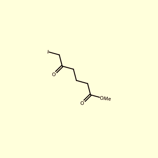 COC(=O)CCCC(=O)CI